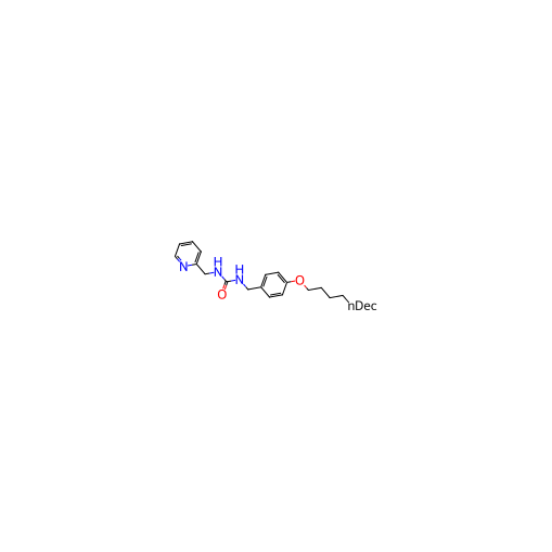 CCCCCCCCCCCCCCOc1ccc(CNC(=O)NCc2ccccn2)cc1